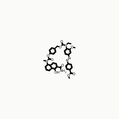 CCN(C(=O)OCc1ccc(OC(=O)N(C)c2cccc3c(O)c(C(N)=O)ccc23)cc1)c1ccc(N=Nc2ccc(C(=O)OC)cc2)cc1OC